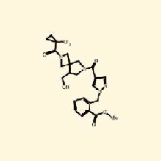 CC(C)(C)OC(=O)c1ccccc1Cn1cc(C(=O)N2CC(CO)C3(C2)CN(C(=O)C2(C(F)(F)F)CC2)C3)cn1